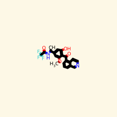 COc1cc(C(C)NC(=O)C(F)(F)F)cc(O)c1C(=O)c1cccc2cnccc12